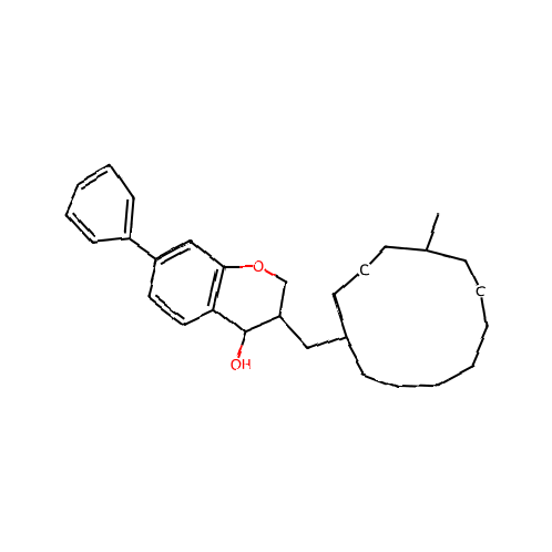 CC1CCCCCCCC(CC2COc3cc(-c4ccccc4)ccc3C2O)CCC1